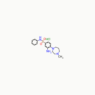 CN1CCCN(c2ccc(S(=O)(=O)Nc3ccccc3)cc2N)CC1.Cl